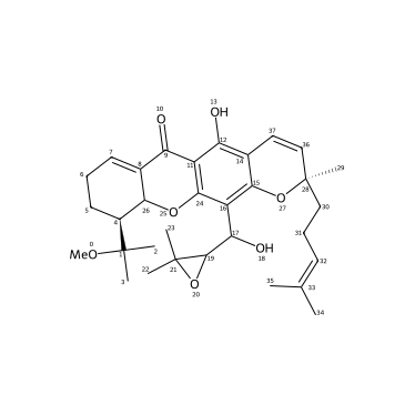 COC(C)(C)[C@H]1CCC=C2C(=O)c3c(O)c4c(c(C(O)C5OC5(C)C)c3OC21)O[C@](C)(CCC=C(C)C)C=C4